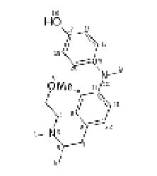 COCCN(C)C(C)Cc1ccc(N(C)c2ccc(O)cc2)cc1